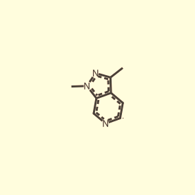 Cc1nn(C)c2cn[c]cc12